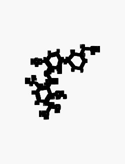 Cc1ccc(N2CCCC(CO)C2)nc1ONc1c(C)ccc(C(=O)O)c1C